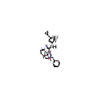 CC1C/C=C(N2CCN(C)CC2)/N=C(Nc2cc(C3CC3)[nH]n2)\N=C1\C=C\c1ccccc1